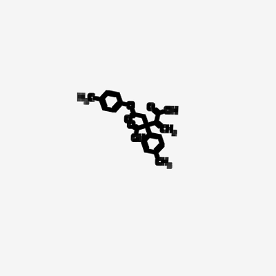 C=C(C(=O)O)C(CC(=O)Oc1ccc(C)cc1)(C(=O)O)c1ccc(C)cc1